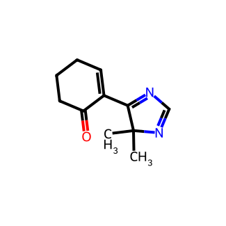 CC1(C)N=CN=C1C1=CCCCC1=O